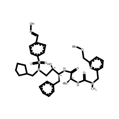 CN(Cc1cccc(COC(C)(C)C)n1)C(=O)N[C@H](C(=O)N[C@@H](Cc1ccccc1)[C@H](O)CN(CC1CCCC1)S(=O)(=O)c1ccc(C=NO)cc1)C(C)(C)C